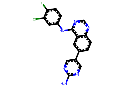 Nc1ncc(-c2ccc3ncnc(Nc4ccc(F)c(Cl)c4)c3c2)cn1